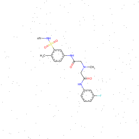 CCCNS(=O)(=O)c1cc(NC(=O)CN(C)CC(=O)Nc2cccc(F)c2)ccc1C